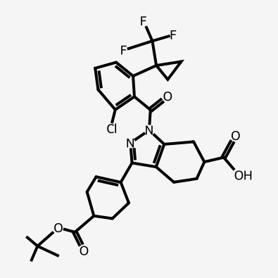 CC(C)(C)OC(=O)C1CC=C(c2nn(C(=O)c3c(Cl)cccc3C3(C(F)(F)F)CC3)c3c2CCC(C(=O)O)C3)CC1